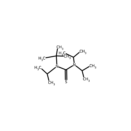 CC(C)N(C(=S)N(C(C)C)C(C)(C)C)C(C)C